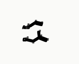 C=C(C)CCl.C=COC(C)=O